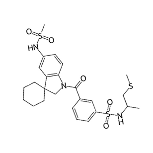 CSCC(C)NS(=O)(=O)c1cccc(C(=O)N2CC3(CCCCC3)c3cc(NS(C)(=O)=O)ccc32)c1